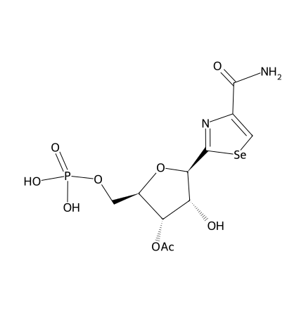 CC(=O)O[C@H]1[C@@H](O)[C@H](c2nc(C(N)=O)c[se]2)O[C@@H]1COP(=O)(O)O